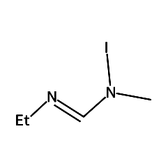 CC/N=C/N(C)I